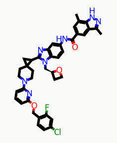 Cc1n[nH]c2c(C)cc(C(=O)Nc3ccc4c(c3)nc(C3CC35CCN(c3cccc(OCc6ccc(Cl)cc6F)n3)CC5)n4C[C@@H]3CCO3)cc12